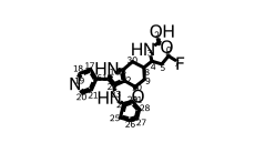 O=C(O)NC(CCF)C1CC(=O)c2c([nH]c(-c3ccncc3)c2Nc2ccccc2)C1